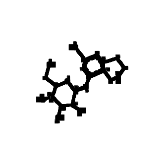 OCC1O[C@@H](Oc2cc(O)cc3c2CNCC3)C(O)C(O)[C@@H]1O